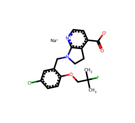 CC(C)(F)COc1ccc(Cl)cc1CN1CCc2c(C(=O)[O-])ccnc21.[Na+]